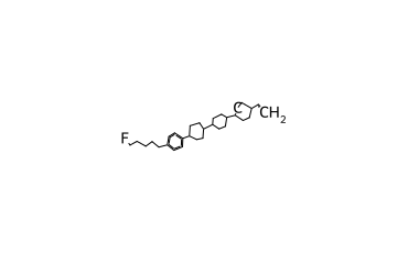 C=CC1CCC(C2CCC(C3CCC(c4ccc(CCCCCF)cc4)CC3)CC2)CC1